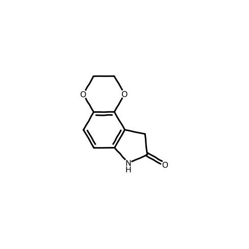 O=C1Cc2c(ccc3c2OCCO3)N1